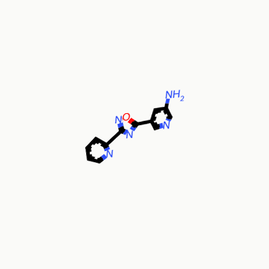 Nc1cncc(-c2nc(-c3ccccn3)no2)c1